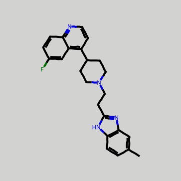 Cc1ccc2[nH]c(CCN3CCC(c4ccnc5ccc(F)cc45)CC3)nc2c1